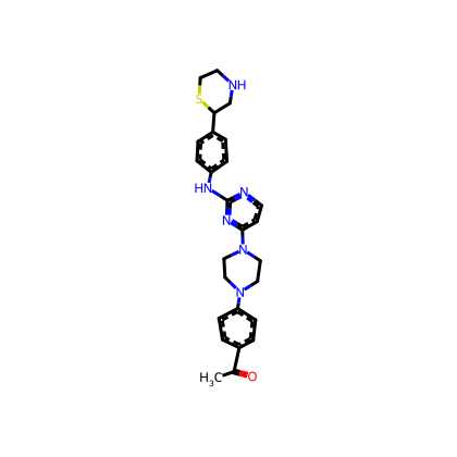 CC(=O)c1ccc(N2CCN(c3ccnc(Nc4ccc(C5CNCCS5)cc4)n3)CC2)cc1